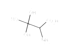 NC(C(=O)O)C(O)(O)O